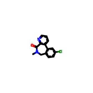 CN1Cc2ccc(Cl)cc2-c2cccnc2C1=O